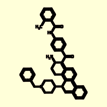 Cc1ccccc1C(=O)Nc1ccc(C(=O)C2=c3ccc4c(c3CCC2N)C(C2CCN(Cc3ccccc3)CC2)C=c2ccccc2=4)cc1